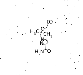 CC(C)(Cn1ccc(C(N)=O)n1)OC[C@H]1CO1